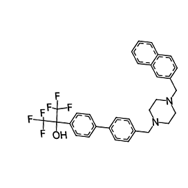 OC(c1ccc(-c2ccc(CN3CCN(Cc4ccc5ccccc5c4)CC3)cc2)cc1)(C(F)(F)F)C(F)(F)F